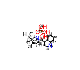 C=C[C@H]1CN2CC[C@H]1C[C@H]2[C@H](O)c1ccnc2ccccc12.O=S(O)O